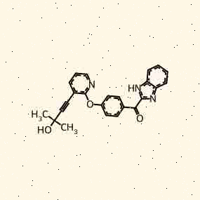 CC(C)(O)C#Cc1cccnc1Oc1ccc(C(=O)c2nc3ccccc3[nH]2)cc1